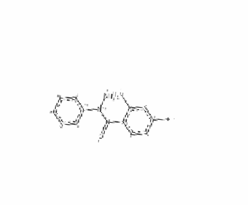 Nc1cc(F)ccc1C(=O)N(N)c1ccccc1